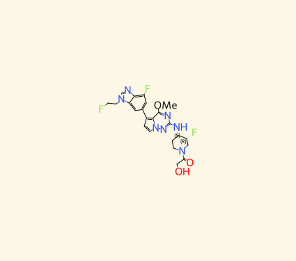 COc1nc(N[C@H]2CCN(C(=O)CO)C[C@H]2F)nn2ccc(-c3cc(F)c4ncn(CCF)c4c3)c12